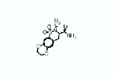 CN1C(C(N)=O)Cc2cc3c(cc2S1(=O)=O)OCCO3